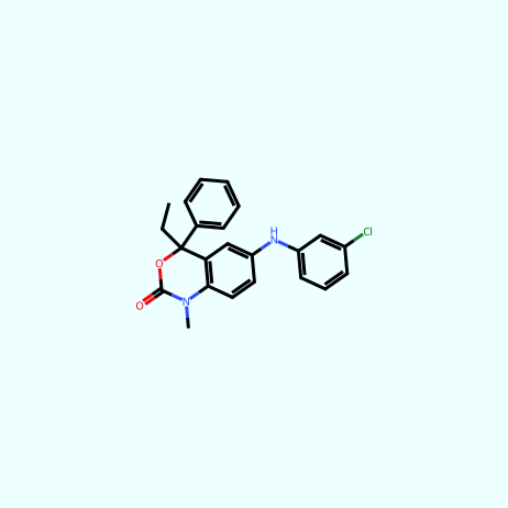 CCC1(c2ccccc2)OC(=O)N(C)c2ccc(Nc3cccc(Cl)c3)cc21